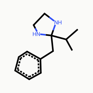 CC(C)C1(Cc2ccccc2)NCCN1